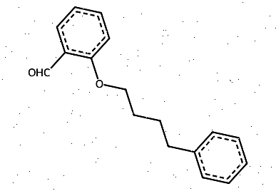 O=Cc1ccccc1OCCCCc1ccccc1